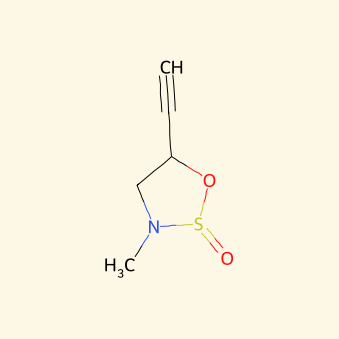 C#CC1CN(C)S(=O)O1